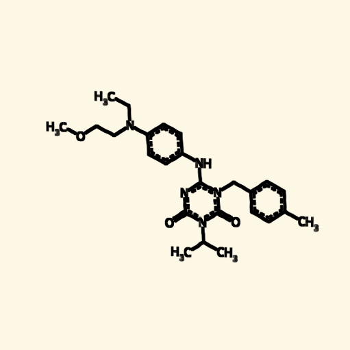 CCN(CCOC)c1ccc(Nc2nc(=O)n(C(C)C)c(=O)n2Cc2ccc(C)cc2)cc1